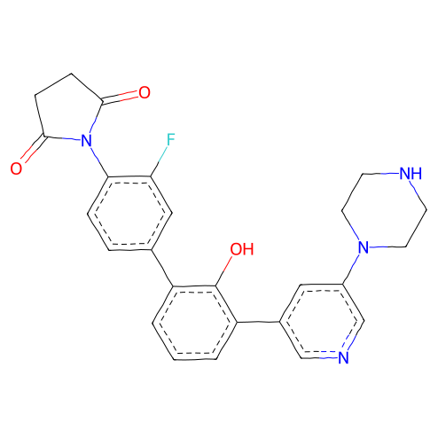 O=C1CCC(=O)N1c1ccc(-c2cccc(-c3cncc(N4CCNCC4)c3)c2O)cc1F